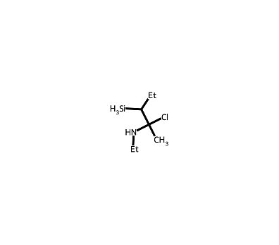 CCNC(C)(Cl)C([SiH3])CC